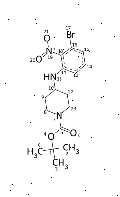 CC(C)(C)OC(=O)N1CCC(Nc2cccc(Br)c2[N+](=O)[O-])CC1